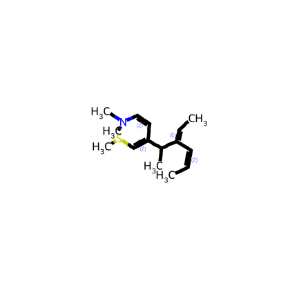 C/C=C\C(=C/C)C(C)C(/C=C\N(C)C)=C/SC